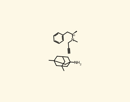 C#CCN(C)[C@H](C)Cc1ccccc1.CC12CC3CC(C)(C1)CC(N)(C3)C2